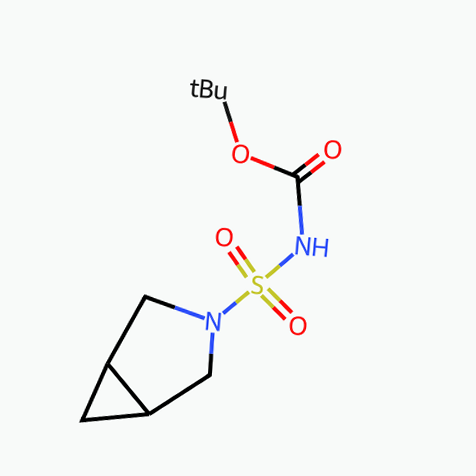 CC(C)(C)OC(=O)NS(=O)(=O)N1CC2CC2C1